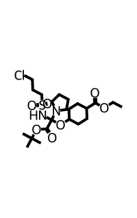 CCOC(=O)C1CCC(OC(NS(=O)(=O)CCCCl)(C(=O)OC(C)(C)C)N2CCCC2)CC1